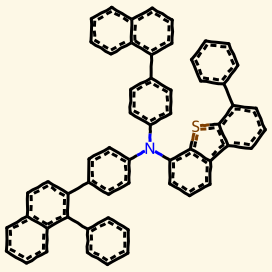 c1ccc(-c2c(-c3ccc(N(c4ccc(-c5cccc6ccccc56)cc4)c4cccc5c4sc4c(-c6ccccc6)cccc45)cc3)ccc3ccccc23)cc1